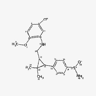 COc1ccc(Cl)cc1NCC1C(c2ccc([S+](N)[O-])cc2)C1(C)C